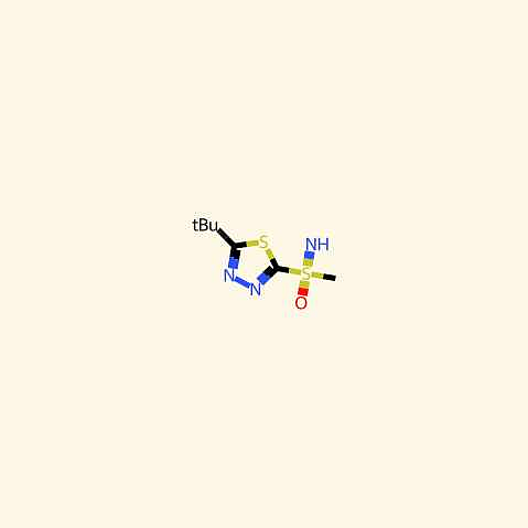 CC(C)(C)c1nnc(S(C)(=N)=O)s1